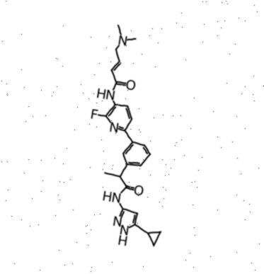 CC(C(=O)Nc1cc(C2CC2)[nH]n1)c1cccc(-c2ccc(NC(=O)/C=C/CN(C)C)c(F)n2)c1